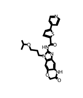 CC(C)OCCCn1c(NC(=O)c2ccc(-c3ccncc3)s2)nc2cc3c(cc21)OCC(=O)N3